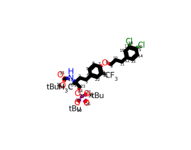 CC(CCc1ccc(OCCCc2ccc(Cl)c(Cl)c2)c(C(F)(F)F)c1)(COP(=O)(OC(C)(C)C)OC(C)(C)C)NC(=O)OC(C)(C)C